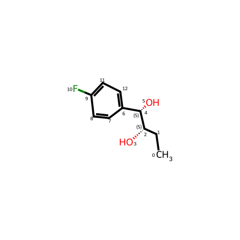 CC[C@H](O)[C@@H](O)c1ccc(F)cc1